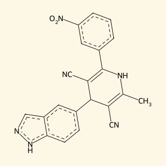 CC1=C(C#N)C(c2ccc3[nH]ncc3c2)C(C#N)=C(c2cccc([N+](=O)[O-])c2)N1